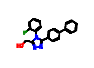 OCc1nnc(-c2ccc(-c3ccccc3)cc2)n1-c1ccccc1F